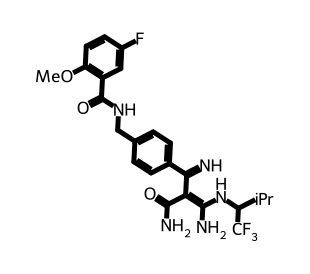 COc1ccc(F)cc1C(=O)NCc1ccc(C(=N)/C(C(N)=O)=C(/N)NC(C(C)C)C(F)(F)F)cc1